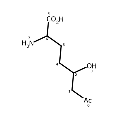 CC(=O)CC(O)CCC(N)C(=O)O